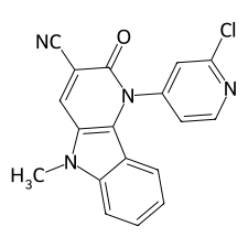 Cn1c2ccccc2c2c1cc(C#N)c(=O)n2-c1ccnc(Cl)c1